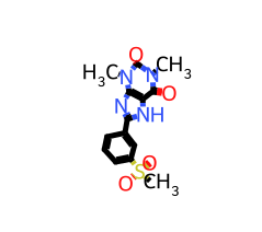 Cn1c(=O)c2[nH]c(-c3cccc(S(C)(=O)=O)c3)nc2n(C)c1=O